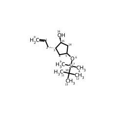 C=CC[C@H]1CC(O[Si](C)(C)C(C)(C)C)C[C@@H]1O